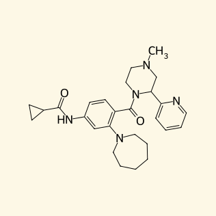 CN1CCN(C(=O)c2ccc(NC(=O)C3CC3)cc2N2CCCCCC2)C(c2ccccn2)C1